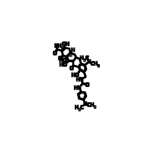 CN(C)c1ccc(NC(=O)NCc2cc(N(C)C)c3c(c2O)C(=O)C2=C(O)[C@]4(O)C(=O)C(C(N)=O)=C(O)C[C@@H]4CC2C3)cc1